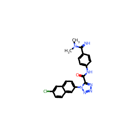 CN(C)C(=N)c1ccc(NC(=O)c2nnnn2-c2ccc3cc(Cl)ccc3c2)cc1